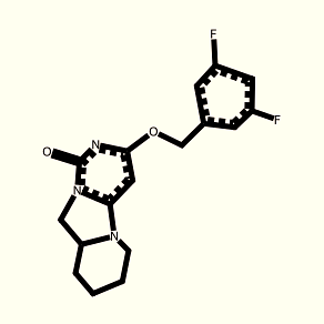 O=c1nc(OCc2cc(F)cc(F)c2)cc2n1CC1CCCCN21